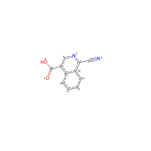 N#Cc1ncc(C(=O)O)c2ccccc12